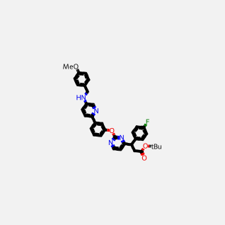 COc1ccc(CNc2ccc(-c3cccc(Oc4nccc(C(CC(=O)OC(C)(C)C)c5ccc(F)cc5)n4)c3)nc2)cc1